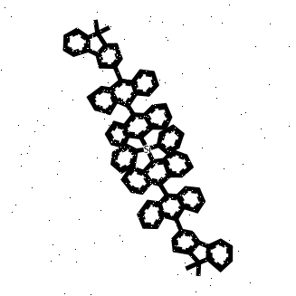 CC1(C)c2ccccc2-c2cc(-c3c4ccccc4c(-c4c5ccccc5c([Si](c5ccccc5)(c5ccccc5)c5c6ccccc6c(-c6c7ccccc7c(-c7ccc8c(c7)-c7ccccc7C8(C)C)c7ccccc67)c6ccccc56)c5ccccc45)c4ccccc34)ccc21